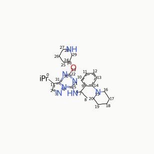 CC(C)c1cnn2c(NC(C)c3ccccc3N3CCCCC3)nc(O[C@@H]3CCCNC3)nc12